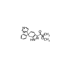 CON(C)C(=O)c1n[nH]c2c1C=CC(c1ccccc1)(c1ccncn1)C2